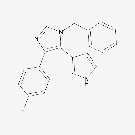 Fc1ccc(-c2ncn(Cc3ccccc3)c2-c2cc[nH]c2)cc1